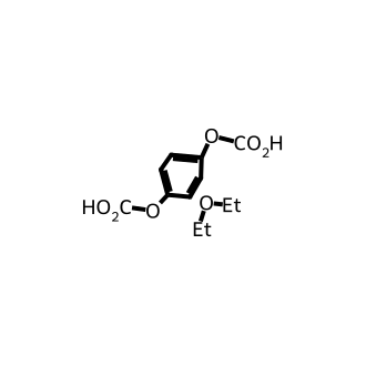 CCOCC.O=C(O)Oc1ccc(OC(=O)O)cc1